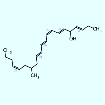 CC/C=C/C(O)/C=C/C=C\C=C\C=C\CC(C)C/C=C\CCC